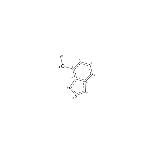 COc1cccc2cs[c]c12